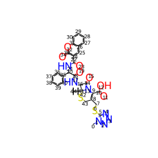 Cn1nnnc1SCC1=C(C(=O)O)N2C(=O)[C@@H](NC(=O)C(NC(=O)c3cc4ccccc4oc3=O)c3ccccc3)[C@H]2SC1